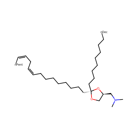 CCCCC/C=C\C/C=C\CCCCCCCC[C@@]1(CCCCCCCCCCCCCCCCCC)OC[C@H](CN(C)C)O1